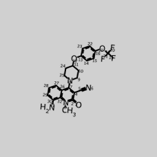 Cn1c(=O)c(C#N)c(N2CCC(Oc3ccc(OC(F)(F)F)cc3)CC2)c2cccc(N)c21